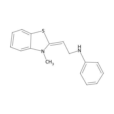 CN1C(=CCNc2ccccc2)Sc2ccccc21